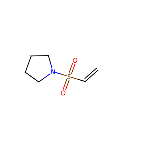 C=CS(=O)(=O)N1C[CH]CC1